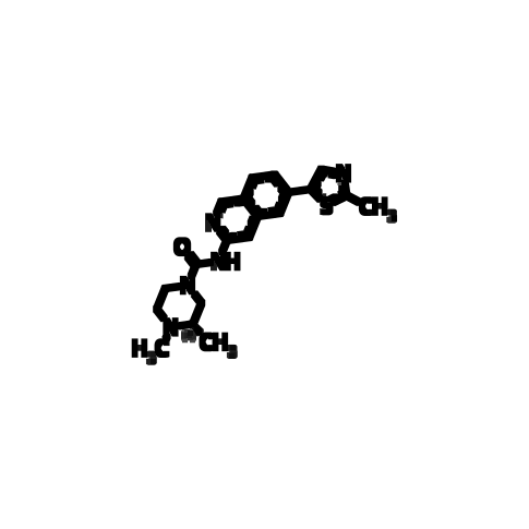 Cc1ncc(-c2ccc3cnc(NC(=O)N4CCN(C)[C@H](C)C4)cc3c2)s1